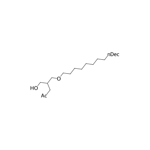 CCCCCCCCCCCCCCCCCCOCC(CO)CC(C)=O